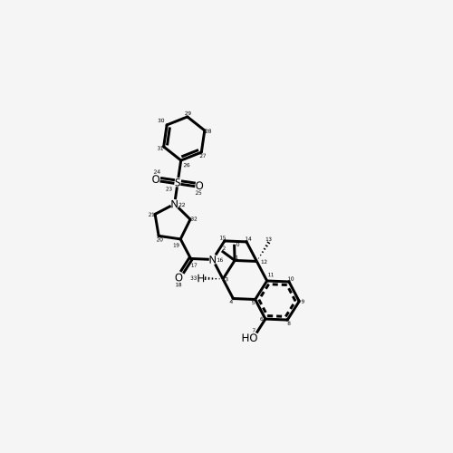 CC1(C)[C@H]2Cc3c(O)cccc3[C@]1(C)CCN2C(=O)C1CCN(S(=O)(=O)C2=CCCC=C2)C1